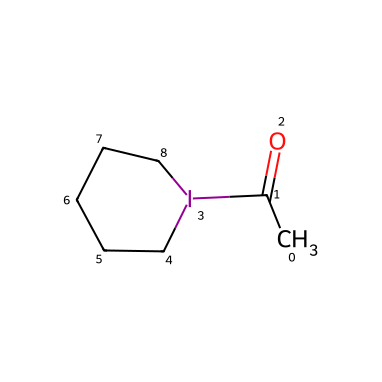 CC(=O)I1CCCCC1